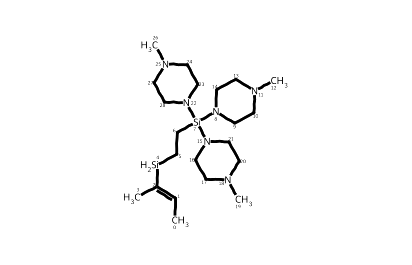 CC=C(C)[SiH2]CC[Si](N1CCN(C)CC1)(N1CCN(C)CC1)N1CCN(C)CC1